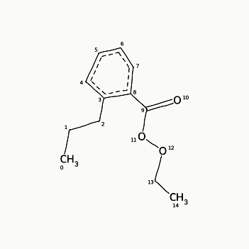 CCCc1ccccc1C(=O)OOCC